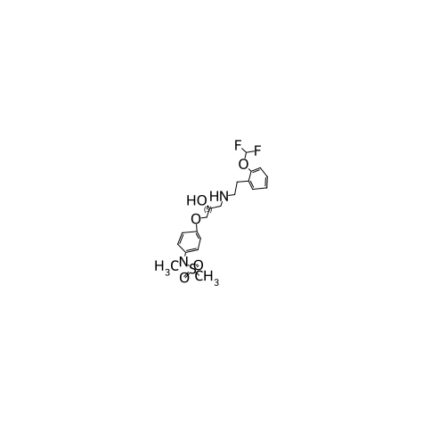 CN(c1ccc(OC[C@@H](O)CNCCc2ccccc2OC(F)F)cc1)S(C)(=O)=O